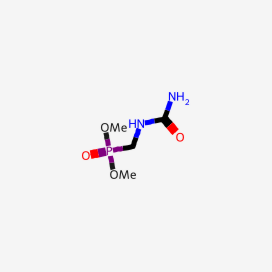 COP(=O)(CNC(N)=O)OC